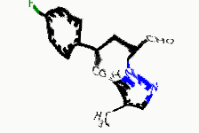 Cc1cnn(C(C=O)CC(C(=O)O)c2ccc(F)cc2)c1